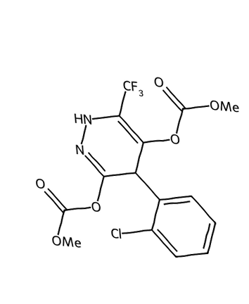 COC(=O)OC1=NNC(C(F)(F)F)=C(OC(=O)OC)C1c1ccccc1Cl